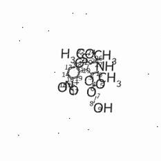 CC1=C(OC(=O)OCCO)C(c2cccc([N+](=O)[O-])c2)C(S(C)(=O)=O)=C(C)N1